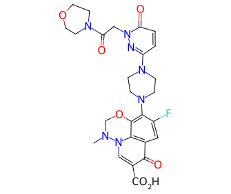 CN1COc2c(N3CCN(c4ccc(=O)n(CC(=O)N5CCOCC5)n4)CC3)c(F)cc3c(=O)c(C(=O)O)cn1c23